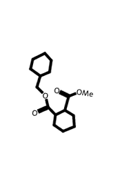 COC(=O)C1CCCCC1C(=O)OCC1CCCCC1